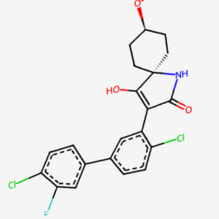 CO[C@H]1CC[C@]2(CC1)NC(=O)C(c1cc(-c3ccc(Cl)c(F)c3)ccc1Cl)=C2O